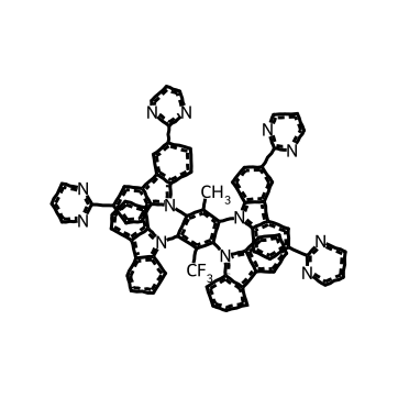 Cc1c(-n2c3ccc(-c4ncccn4)cc3c3cc(-c4ncccn4)ccc32)c(-n2c3ccccc3c3ccccc32)c(C(F)(F)F)c(-n2c3ccccc3c3ccccc32)c1-n1c2ccc(-c3ncccn3)cc2c2cc(-c3ncccn3)ccc21